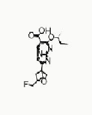 CC[C@@H](C)Oc1nc2nc(C34COC(CF)(C3)C4)cn2cc1C(=O)O